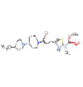 CC1CCN(C2CCN(C(=O)CC3=CSC(N(C)C(=O)OC(C)(C)C)N3)CC2)CC1